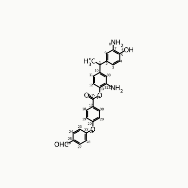 CC(c1ccc(O)c(N)c1)c1ccc(OC(=O)c2ccc(Oc3ccc(C=O)cc3)cc2)c(N)c1